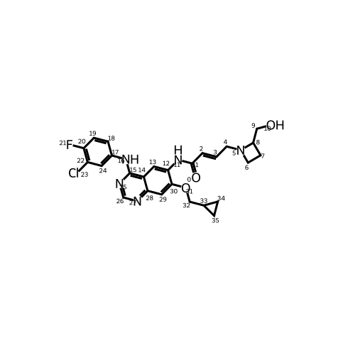 O=C(C=CCN1CCC1CO)Nc1cc2c(Nc3ccc(F)c(Cl)c3)ncnc2cc1OCC1CC1